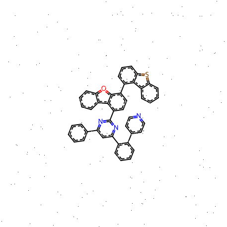 c1ccc(-c2cc(-c3ccccc3-c3ccncc3)nc(-c3ccc(-c4cccc5sc6ccccc6c45)c4oc5ccccc5c34)n2)cc1